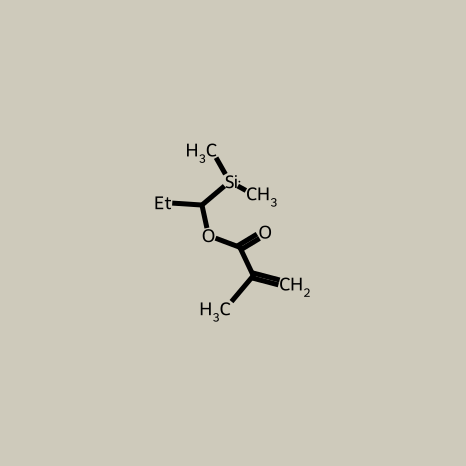 C=C(C)C(=O)OC(CC)[Si](C)C